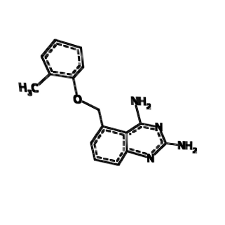 Cc1ccccc1OCc1cccc2nc(N)nc(N)c12